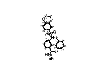 CC(C)NC(=O)c1cccc(N(Cc2ccccc2)S(=O)(=O)c2ccc3c(c2)OCCO3)c1